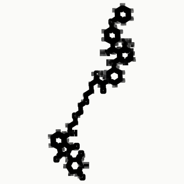 C=C(CCCOCCOCCNc1cccc2c1C(=O)N(C1CCC(=O)NC1=O)C2=O)C(=O)N1CCCC(Nc2ncnc(N)c2C(=N)c2ccc(Oc3ccccc3)cc2)C1